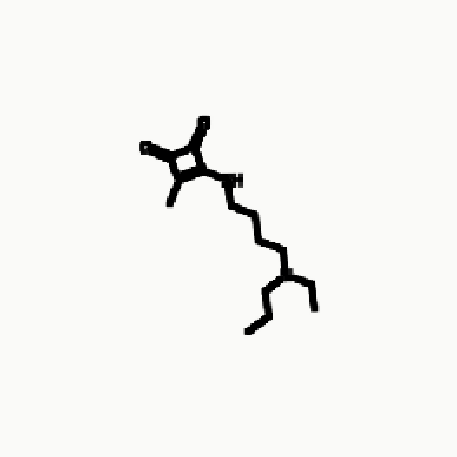 CCCN(CC)CCCCNc1c(C)c(=O)c1=O